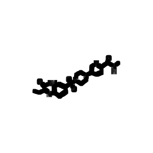 CCc1nc2ccc(S(=O)(=O)N3CCN(c4ccc(C(=O)NC)nc4)CC3)cc2[nH]c1=O